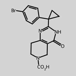 O=C(O)N1CCc2nc(C3(c4ccc(Br)cc4)CC3)[nH]c(=O)c2C1